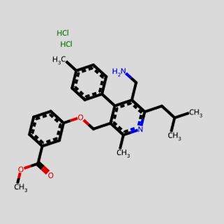 COC(=O)c1cccc(OCc2c(C)nc(CC(C)C)c(CN)c2-c2ccc(C)cc2)c1.Cl.Cl